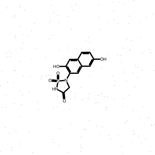 O=C1CN(c2cc3cc(O)ccc3cc2O)S(=O)(=O)N1